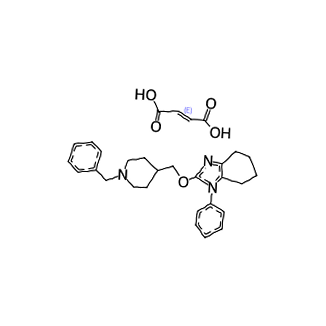 O=C(O)/C=C/C(=O)O.c1ccc(CN2CCC(COc3nc4c(n3-c3ccccc3)CCCC4)CC2)cc1